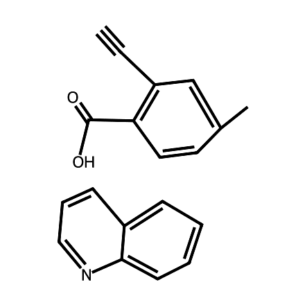 C#Cc1cc(C)ccc1C(=O)O.c1ccc2ncccc2c1